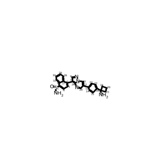 N[S+]([O-])c1ccc(-c2cnn3cc(-c4ccc(C5(N)CCC5)cc4)cnc23)c2ccccc12